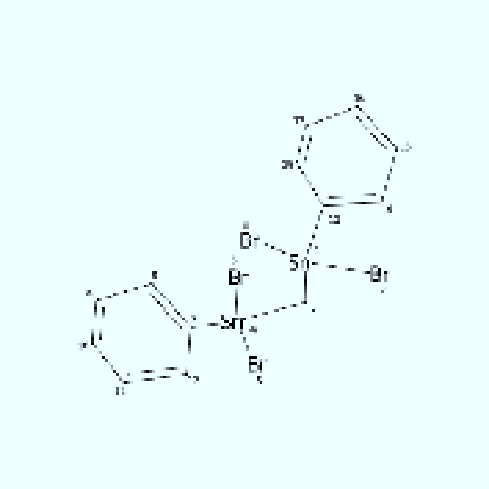 [Br][Sn]([Br])([CH2][Sn]([Br])([Br])[c]1ccccc1)[c]1ccccc1